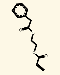 C=CC(=O)OCCOC(=O)Cc1ccccc1